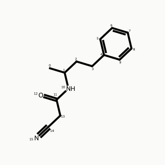 CC(CCc1ccccc1)NC(=O)CC#N